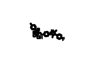 Cc1ccc(S(=O)(=O)N(CCc2ccc(-n3nc(C)c(-c4ccc(F)cc4)c3C)cc2)C(=O)O)cc1